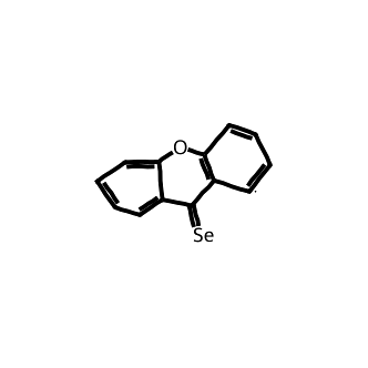 [Se]=c1c2[c]cccc2oc2ccccc12